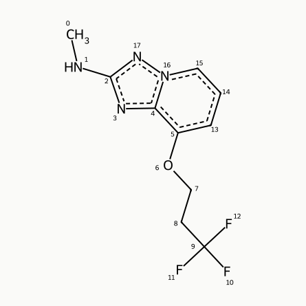 CNc1nc2c(OCCC(F)(F)F)cccn2n1